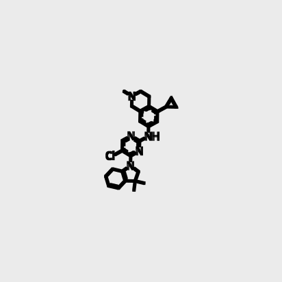 CN1CCc2c(cc(Nc3ncc(Cl)c(N4CC(C)(C)C5=C4CCC=C5)n3)cc2C2CC2)C1